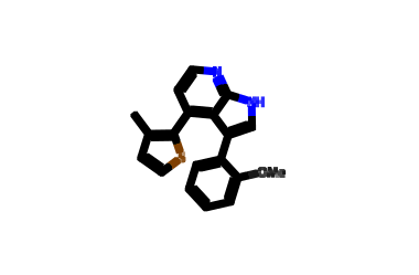 COc1ccccc1-c1c[nH]c2nccc(-c3sccc3C)c12